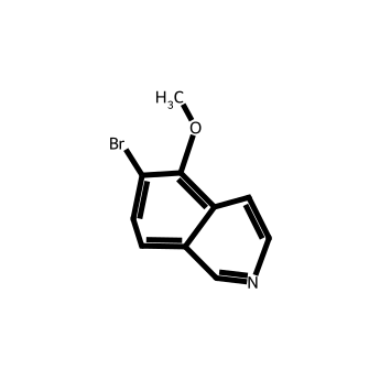 COc1c(Br)ccc2cnccc12